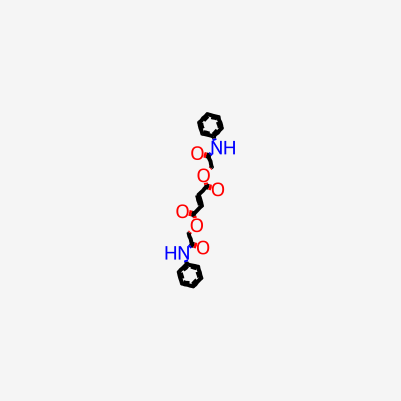 O=C(COC(=O)/C=C/C(=O)OCC(=O)Nc1ccccc1)Nc1ccccc1